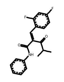 CC(C)C(=O)C(=Cc1ccc(F)cc1F)C(=O)Nc1ccccc1